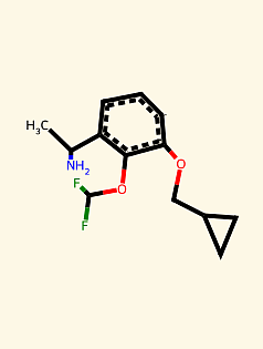 CC(N)c1cc[c]c(OCC2CC2)c1OC(F)F